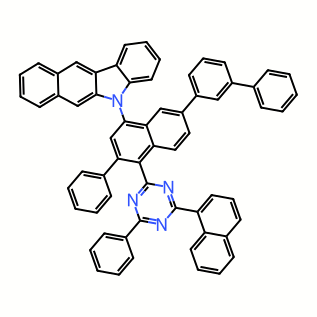 c1ccc(-c2cccc(-c3ccc4c(-c5nc(-c6ccccc6)nc(-c6cccc7ccccc67)n5)c(-c5ccccc5)cc(-n5c6ccccc6c6cc7ccccc7cc65)c4c3)c2)cc1